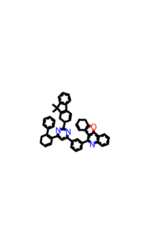 CC1(C)C2=C(C=CC(c3nc(C4=C(c5ccccc5)CCC=C4)cc(-c4cccc(-c5nc6ccccc6c6oc7c(c56)C=CCC7)c4)n3)C2)c2ccccc21